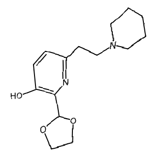 Oc1ccc(CCN2CCCCC2)nc1C1OCCO1